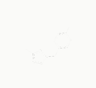 [CH2]c1ncn(Cc2ccc(Cl)cc2)n1